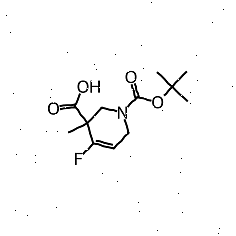 CC(C)(C)OC(=O)N1CC=C(F)C(C)(C(=O)O)C1